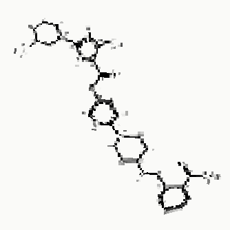 COC(=O)c1ccccc1COC1CCN(c2ccc(NC(=O)c3oc(N4CCCC(C)C4)nc3C(F)(F)F)cn2)CC1